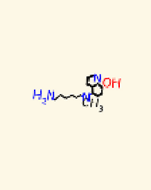 CN(CCCCCCN)c1ccc(O)c2ncccc12